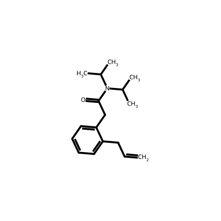 C=CCc1ccccc1CC(=O)N(C(C)C)C(C)C